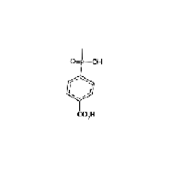 CP(=O)(O)c1ccc(C(=O)O)cc1